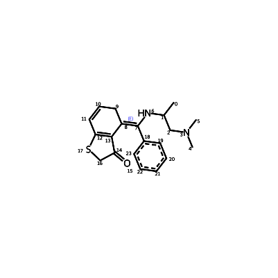 CC(CN(C)C)N/C(=C1\CC=CC2=C1C(=O)CS2)c1ccccc1